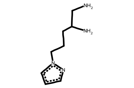 NCC(N)CCCn1cccn1